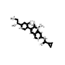 CC[C@@H](O)c1cc(C)c(-c2cc3cnc(NC(=O)C4CC4)cc3n(C)c2=O)cn1